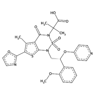 COc1ccccc1[C@H](CN1c2sc(-c3ncco3)c(C)c2C(=O)N(C(C)(C)C(=O)O)S1(=O)=O)Oc1ccncc1